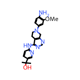 COc1cc(N2CCc3c(ncnc3Nc3ccc(C(C)(C)O)cn3)C2)ccc1N